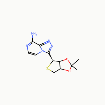 CC1(C)OC2CS[C@@H](c3nnc4c(N)nccn34)C2O1